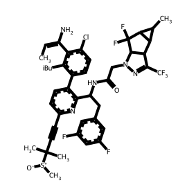 C/C=C(/N)c1c(Cl)ccc(-c2ccc(C#CC(C)(C)[S+](C)[O-])nc2C(Cc2cc(F)cc(F)c2)NC(=O)CN2N=C(C(F)(F)F)C3C4C(C)C4C(F)(F)C32)c1C(C)CC